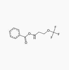 O=C(ONCCOC(F)(F)F)c1ccccc1